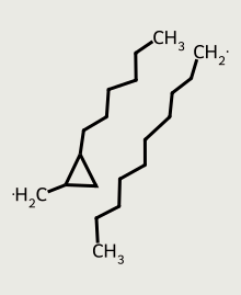 [CH2]C1CC1CCCCCC.[CH2]CCCCCCCCC